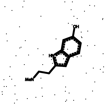 CNCCc1cc2ccc(O)cc2[nH]1